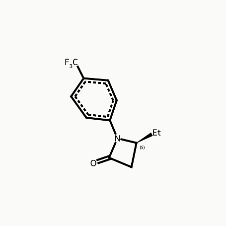 CC[C@H]1CC(=O)N1c1ccc(C(F)(F)F)cc1